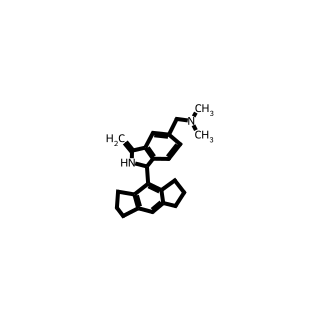 C=C1NC(c2c3c(cc4c2CCC4)CCC3)c2ccc(CN(C)C)cc21